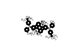 Cc1cccc(N(c2ccc(C(C)(C)C)cc2)c2ccc3c(c2)c2ccc([Si](C)(C)C)c4c5c6ccc(N(c7ccc(C(C)(C)C)cc7)c7cccc(C)c7)cc6c6ccc([Si](C)(C)C)c(c3c24)c65)c1